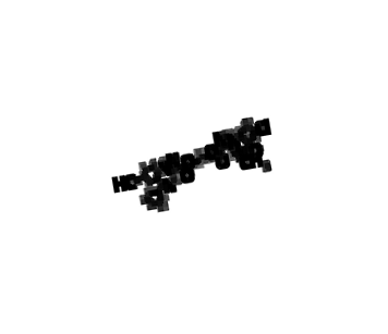 C#Cc1ccc2c(c1)C(c1ccccc1)=NCc1c(C(=O)OCCCOC(=O)c3ncn4c3CN(C)C(=O)c3cc(Cl)ccc3-4)ncn1-2